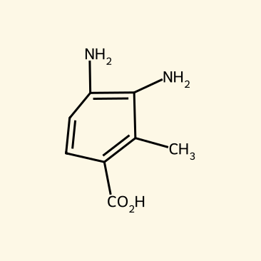 Cc1c(C(=O)O)ccc(N)c1N